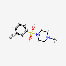 CC(=O)N1CCN(S(=O)(=O)c2cccc(C#N)c2)CC1